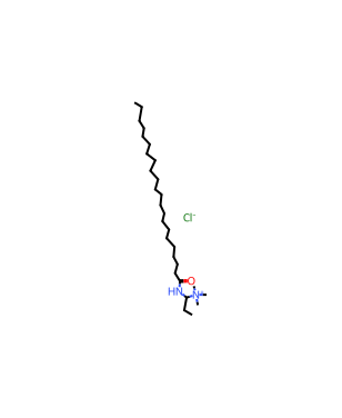 CCCCCCCCCCCCCCCCCCCCCC(=O)NC(CC)[N+](C)(C)C.[Cl-]